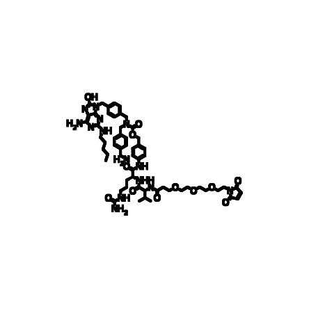 CCCCCNc1nc(N)c2nc(O)n(Cc3ccc(CN(Cc4ccc(CN)cc4)C(=O)OCc4ccc(NC(=O)[C@H](CCCNC(N)=O)NC(=O)[C@@H](NC(=O)CCOCCOCCOCCN5C(=O)C=CC5=O)C(C)C)cc4)cc3)c2n1